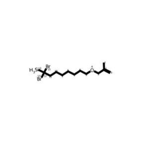 C=C(C)COCCCCCCCC([SiH3])(Br)Br